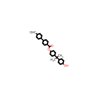 CC(C)(c1ccc(O)cc1)c1ccc(OC(=O)c2ccc(-c3ccc(C=O)cc3)cc2)cc1